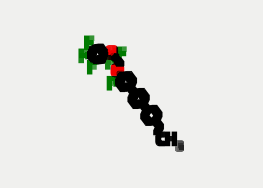 CCCC1CCC(c2ccc(-c3ccc(OCC(F)(F)Oc4cc(F)c(F)c(F)c4)c(F)c3)cc2)CC1